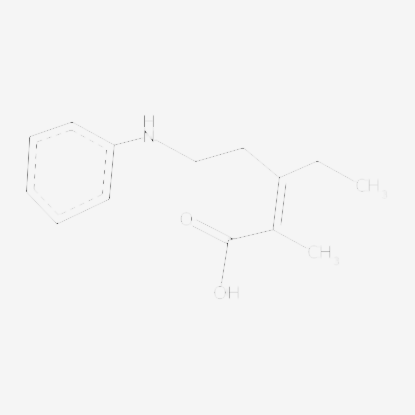 CCC(CCNc1ccccc1)=C(C)C(=O)O